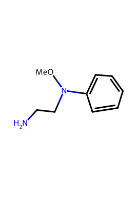 CON(CCN)c1ccccc1